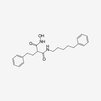 O=C(NO)C(CCc1ccccc1)C(=O)NCCCCCc1ccccc1